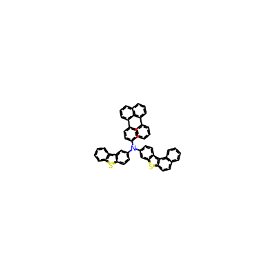 c1ccc(-c2cccc3cccc(-c4ccc(N(c5ccc6c(c5)sc5ccc7ccccc7c56)c5ccc6sc7ccccc7c6c5)cc4)c23)cc1